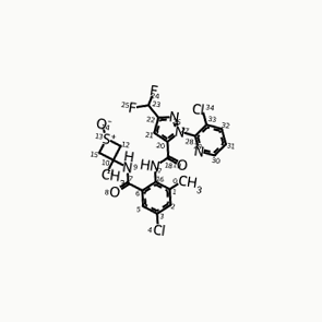 Cc1cc(Cl)cc(C(=O)NC2(C)C[S+]([O-])C2)c1NC(=O)c1cc(C(F)F)nn1-c1ncccc1Cl